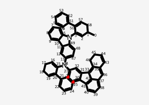 CC1C=C(n2c3ccccc3c3cc(N(C4=CCCC=C4c4ccccc4)c4ccc5c(c4)-c4c6c(cc7cccc-5c47)C=CCC6)ccc32)C(c2ccccc2)=CC1